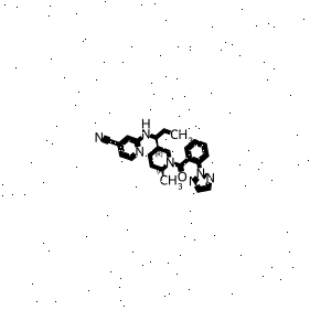 CCC(Nc1cc(C#N)ccn1)[C@@H]1CC[C@@H](C)N(C(=O)c2ccccc2-n2nccn2)C1